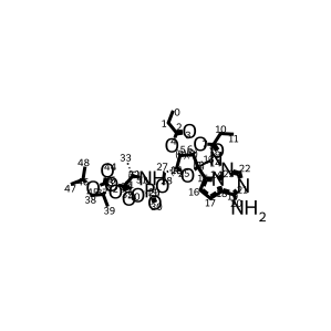 CCC(=O)O[C@H]1[C@@H](OC(=O)CC)[C@](C#N)(c2ccc3c(N)ncnn23)O[C@@H]1CO[P@@](=O)(N[C@@H](C)C(=O)OC(C)C)OCOC(=O)OC(C)C